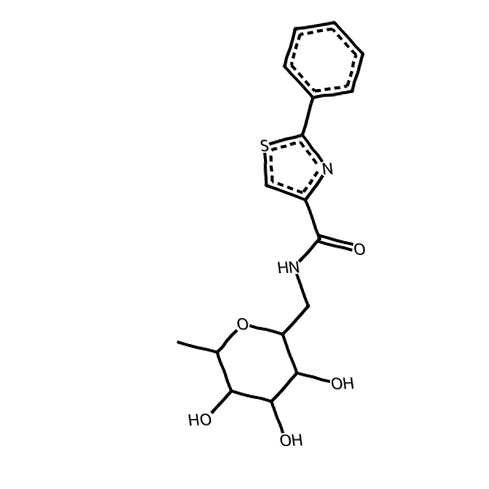 CC1OC(CNC(=O)c2csc(-c3ccccc3)n2)C(O)C(O)C1O